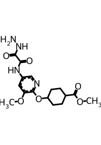 COC(=O)C1CCC(Oc2ncc(NC(=O)C(=O)NN)cc2OC)CC1